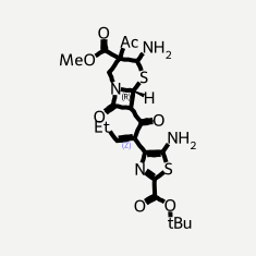 CC/C=C(\C(=O)C1C(=O)N2CC(C(C)=O)(C(=O)OC)C(N)S[C@H]12)c1nc(C(=O)OC(C)(C)C)sc1N